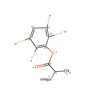 CCCCCCCC(C)C(=O)Oc1c(F)c(F)cc(F)c1F